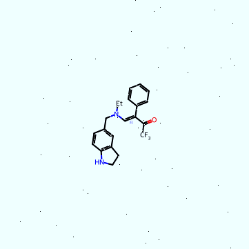 CCN(/C=C(/C(=O)C(F)(F)F)c1ccccc1)Cc1ccc2c(c1)CCN2